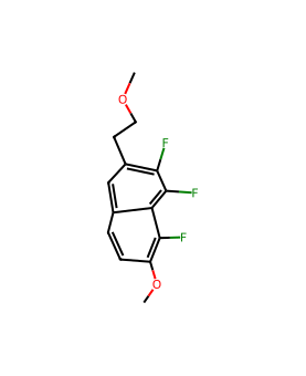 COCCc1cc2ccc(OC)c(F)c2c(F)c1F